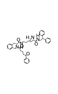 N[C@@H](CCCCNC(=O)[C@@H]1Cc2ccccc2CN1C(=O)CCCC(=O)c1ccccc1)C(=O)NCC(c1ccccc1)c1ccccc1